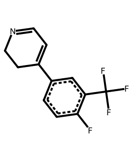 Fc1ccc(C2=CC=NCC2)cc1C(F)(F)F